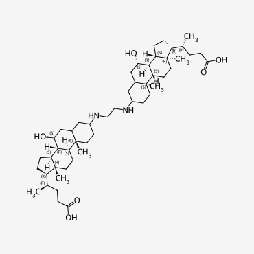 C[C@H](CCC(=O)O)[C@H]1CC[C@H]2[C@@H]3[C@@H](O)CC4CC(NCCNC5CC[C@@]6(C)C(C5)C[C@H](O)[C@H]5[C@@H]7CC[C@H]([C@H](C)CCC(=O)O)[C@@]7(C)CC[C@@H]56)CC[C@]4(C)[C@H]3CC[C@]12C